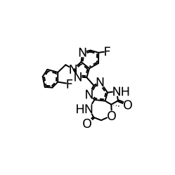 C[C@]12OCC(=O)Nc3nc(-c4nn(Cc5ccccc5F)c5ncc(F)cc45)nc(c31)NC2=O